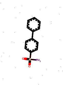 O=S(=O)(P)c1ccc(-c2ccccc2)cc1